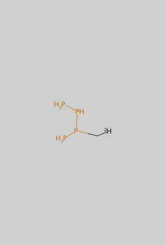 [2H]CP(P)PP